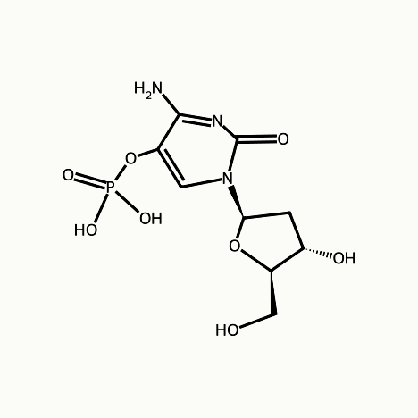 Nc1nc(=O)n([C@H]2C[C@H](O)[C@@H](CO)O2)cc1OP(=O)(O)O